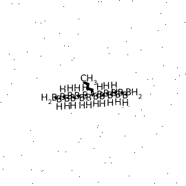 BBBBBBBBBBC(BBBBBBBBBB)CCCCC